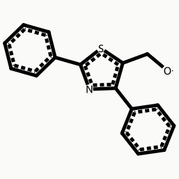 [O]Cc1sc(-c2ccccc2)nc1-c1ccccc1